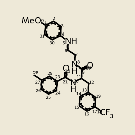 COc1ccc(NCCNC(=O)C(Cc2cccc(C(F)(F)F)c2)NC(=O)c2cccc(C)c2)cc1